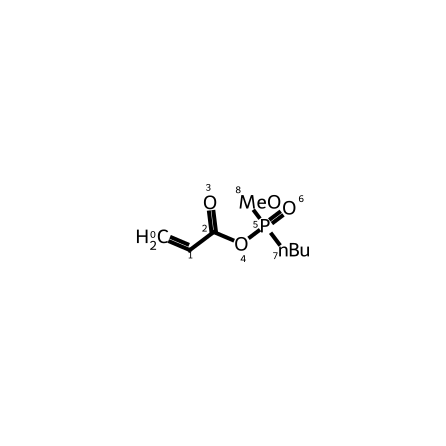 C=CC(=O)OP(=O)(CCCC)OC